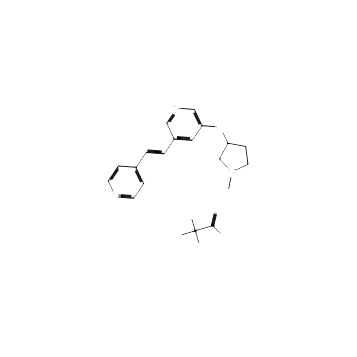 CN1CCC(Oc2cncc(C=Cc3ccncc3)c2)C1.O=C(O)C(F)(F)F